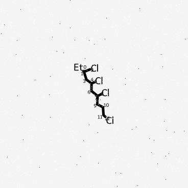 CCC(Cl)CC(Cl)CC(Cl)CCCCl